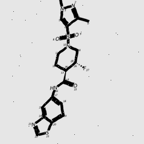 Cc1nn(C)cc1S(=O)(=O)N1CC[C@H](C(=O)Nc2ccc3scnc3c2)[C@@H](F)C1